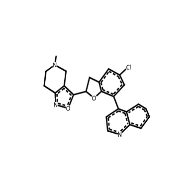 CN1CCc2noc(C3Cc4cc(Cl)cc(-c5ccnc6ccccc56)c4O3)c2C1